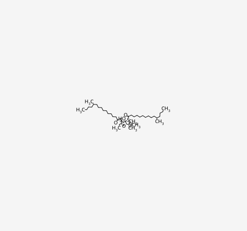 CCCCC(C)CCCCCCCCCC(=O)SC(O)(C[N+](C)(C)C)P(=O)(CC)SC(=O)CCCCCCCCCC(C)CCCC